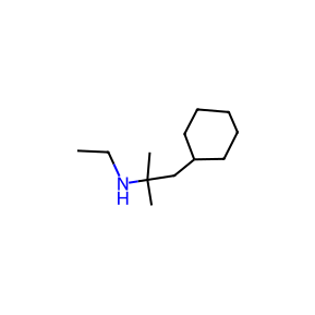 CCNC(C)(C)CC1CCCCC1